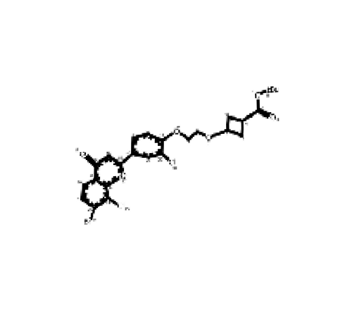 CC(C)(C)OC(=O)C1CC(OCCOc2ccc(-c3cc(=O)c4ccc(Br)c(Cl)c4o3)cc2Cl)C1